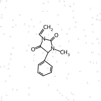 C=CN1C(=O)C(c2ccccc2)N(C)C1=O